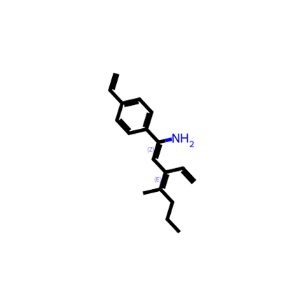 C=CC(/C=C(\N)c1ccc(C=C)cc1)=C(/C)CCC